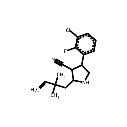 C=CC(C)(C)CC1NCC(c2cccc(Cl)c2F)C1C#N